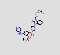 COCCn1c(=O)n(C2CCN(C(=O)c3ccc(Nc4ccncc4)cc3OC)CC2)c2ccccc21